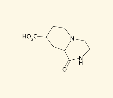 O=C(O)C1CCN2CCNC(=O)C2C1